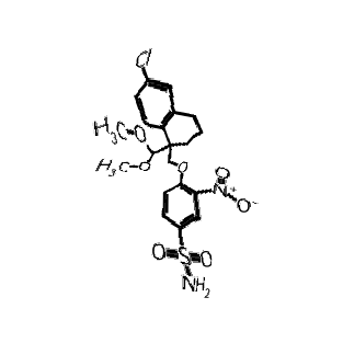 COC(OC)C1(COc2ccc(S(N)(=O)=O)cc2[N+](=O)[O-])CCCc2cc(Cl)ccc21